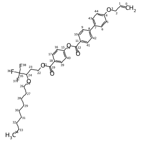 C=CCOc1ccc(-c2ccc(C(=O)Oc3ccc(C(=O)OCCC(OCCCCCCCCC)C(F)(F)F)cc3)cc2)cc1